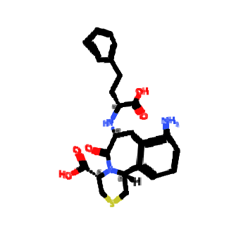 Nc1cccc2c1C[C@@H](N[C@@H](CCc1ccccc1)C(=O)O)C(=O)N1[C@@H](C(=O)O)CSC[C@@H]21